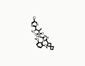 COc1cccc(OC)c1-n1c(NS(=O)(=O)C(C)C(OC)c2ncc(Cl)cn2)nnc1C1CC2(CCC2)C1